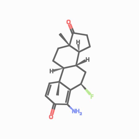 C[C@]12C=CC(=O)C(N)=C1[C@H](F)C[C@@H]1[C@@H]2CC[C@]2(C)C(=O)CC[C@@H]12